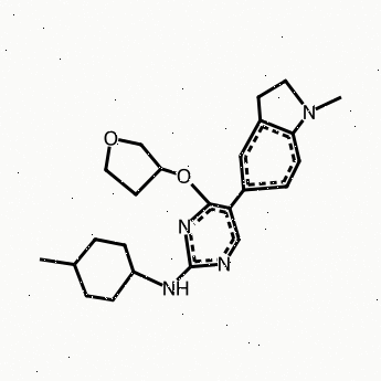 CC1CCC(Nc2ncc(-c3ccc4c(c3)CCN4C)c(OC3CCOC3)n2)CC1